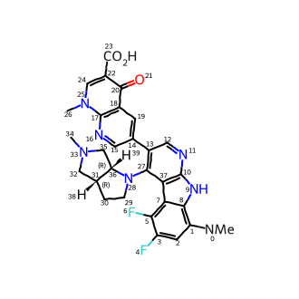 CNc1cc(F)c(F)c2c1[nH]c1ncc(-c3cnc4c(c3)c(=O)c(C(=O)O)cn4C)c(N3CC[C@@H]4CN(C)C[C@@H]43)c12